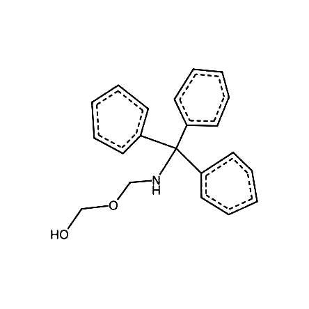 OCOCNC(c1ccccc1)(c1ccccc1)c1ccccc1